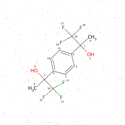 CC(O)(c1ccc(C(C)(O)C(F)(F)F)cc1)C(F)(F)F